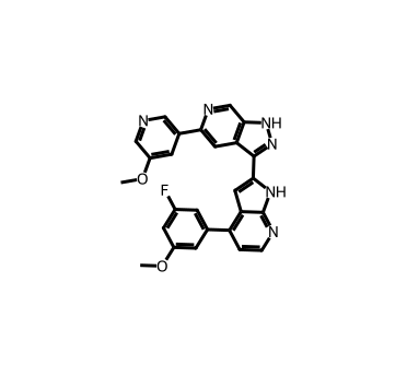 COc1cncc(-c2cc3c(-c4cc5c(-c6cc(F)cc(OC)c6)ccnc5[nH]4)n[nH]c3cn2)c1